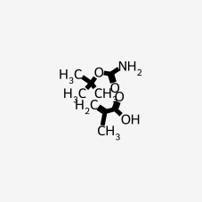 C=C(C)C(=O)O.CC(C)(C)OC(N)=O